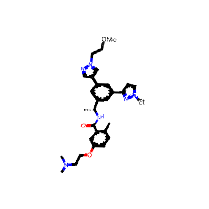 CCn1ccc(-c2cc(-c3cnn(CCOC)c3)cc([C@@H](C)NC(=O)c3cc(OCCN(C)C)ccc3C)c2)n1